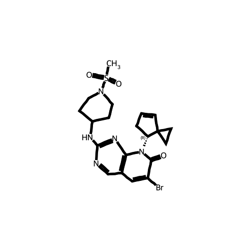 CS(=O)(=O)N1CCC(Nc2ncc3cc(Br)c(=O)n([C@@H]4CC=CC45CC5)c3n2)CC1